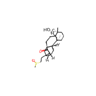 C[S+]([O-])CC[C@@H]1C(=O)[C@]23CC[C@H]1C[C@H]2[C@]1(C)CCC[C@@](C)(C(=O)O)[C@H]1CC3